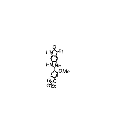 CCC1C(=O)Nc2cc3c(cc21)NC(c1ccc(OS(=O)(=O)CC)cc1OC)N3